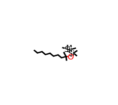 CCCCCCCCC1(C)C[Si](C)(C)[Si](C)(C)[Si](C)(C)O1